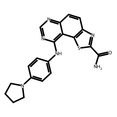 NC(=O)c1nc2ccc3ncnc(Nc4ccc(N5CCCC5)cc4)c3c2s1